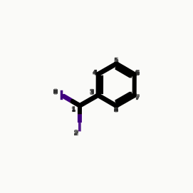 IC(I)c1ccccc1